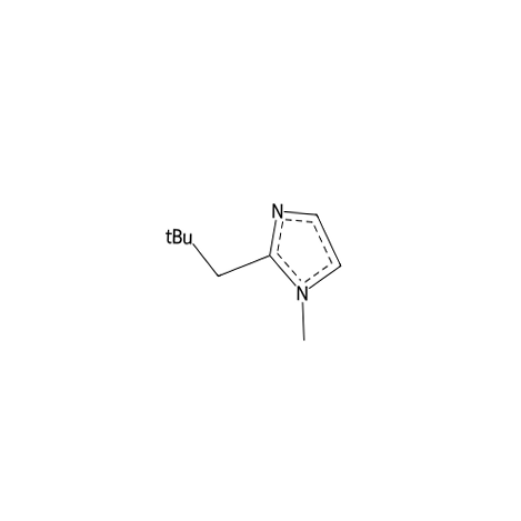 Cn1ccnc1CC(C)(C)C